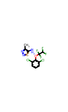 Cc1nnsc1N.FC(F)C(F)(F)Oc1c(Cl)cccc1Cl